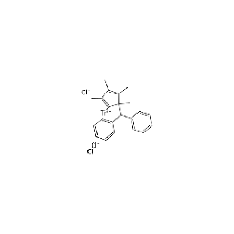 CC1=C(C)C(C)(C(c2ccccc2)c2ccccc2)[C]([Ti+3])=C1C.[Cl-].[Cl-].[Cl-]